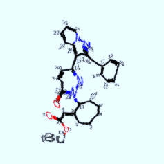 CC(C)(C)OC(=O)C=C1CCCCCC1n1nc(-c2c(-c3ccccc3)nn3ccccc23)ccc1=O